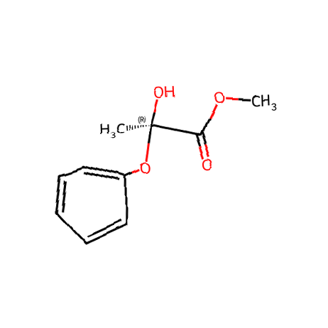 COC(=O)[C@](C)(O)Oc1ccccc1